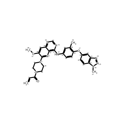 C=CC(=O)N1CCN(c2nc3c(Nc4ccc(Oc5ccc6c(c5)nnn6C)c(C)c4)ncnc3cc2OC)CC1